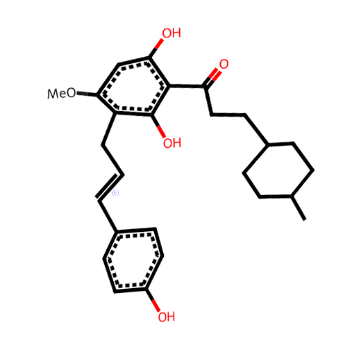 COc1cc(O)c(C(=O)CCC2CCC(C)CC2)c(O)c1C/C=C/c1ccc(O)cc1